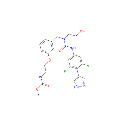 COC(=O)NCCOc1cccc(CN(CCO)C(=O)Nc2cc(F)c(-c3cn[nH]c3)c(F)c2)c1